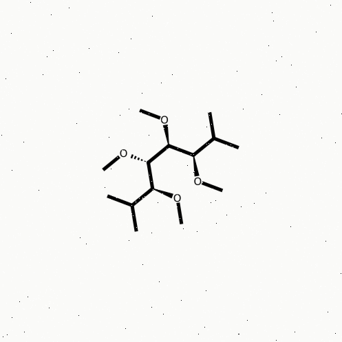 CO[C@H]([C@@H](OC)[C@@H](OC)C(C)C)[C@H](OC)C(C)C